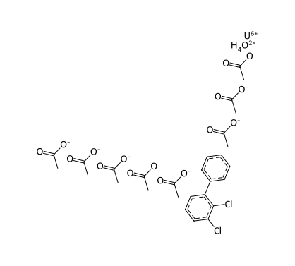 CC(=O)[O-].CC(=O)[O-].CC(=O)[O-].CC(=O)[O-].CC(=O)[O-].CC(=O)[O-].CC(=O)[O-].CC(=O)[O-].Clc1cccc(-c2ccccc2)c1Cl.[OH4+2].[U+6]